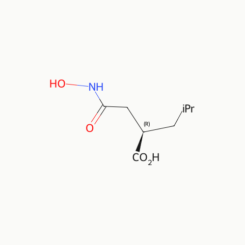 CC(C)C[C@H](CC(=O)NO)C(=O)O